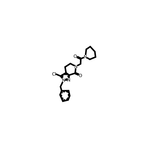 O=C(CN1CCc2c(nn(Cc3ccccc3)c2Cl)C1=O)N1CCCCC1